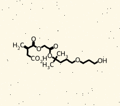 C=C(CC(=O)O)C(=O)OCC(=O)OC(C)(C)CCCOCCCO